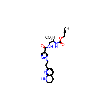 C#CCOC(=O)NC(CNC(=O)c1cnn(CCc2ccc3c(n2)NCCC3)c1)C(=O)O